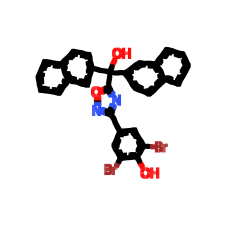 Oc1c(Br)cc(-c2noc(C(O)(c3ccc4ccccc4c3)c3ccc4ccccc4c3)n2)cc1Br